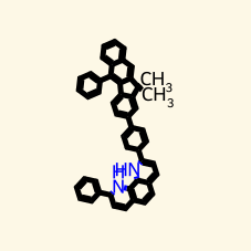 CC1(C)c2cc(C3=CCC(C4=CC=C5C=CC6=C(NC(c7ccccc7)C=C6)C5N4)C=C3)ccc2-c2c1cc1ccccc1c2-c1ccccc1